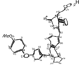 COc1ccc(Oc2ccc(N3c4ccc(/C=C5\SC(=S)N(CCC(=O)O)C5=O)cc4C4CCCC43)cc2)cc1